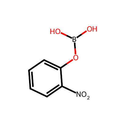 O=[N+]([O-])c1ccccc1OB(O)O